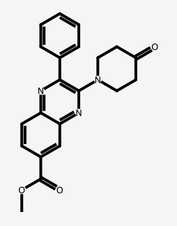 COC(=O)c1ccc2nc(-c3ccccc3)c(N3CCC(=O)CC3)nc2c1